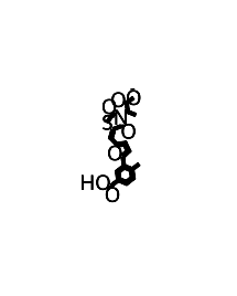 COC(=O)C(C)N1C(=O)SC(=Cc2ccc(-c3cc(C(=O)O)ccc3C)o2)C1=O